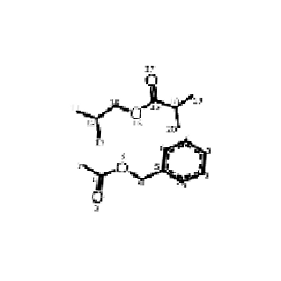 CC(=O)OCc1ccccc1.CC(C)COC(=O)C(C)C